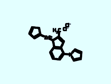 CC1=Cc2c(cccc2-n2cccc2)[CH]1[Zr+2][C]1=CC=CC1.[Cl-].[Cl-]